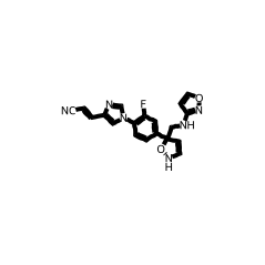 N#C/C=C/c1cn(-c2ccc(C3(CNc4ccon4)C=CNO3)cc2F)cn1